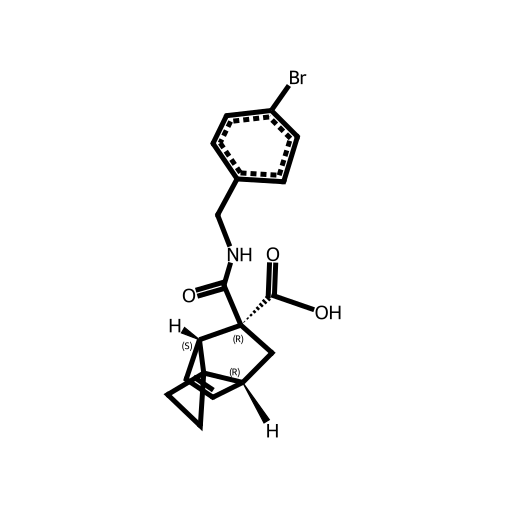 O=C(O)[C@]1(C(=O)NCc2ccc(Br)cc2)C[C@@H]2C=C[C@H]1C21CC1